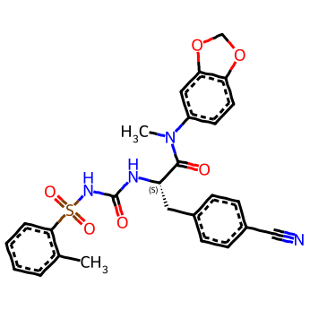 Cc1ccccc1S(=O)(=O)NC(=O)N[C@@H](Cc1ccc(C#N)cc1)C(=O)N(C)c1ccc2c(c1)OCO2